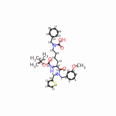 COc1cccc(CN(Cc2cccs2)C(=O)[C@H](CCCCN(Cc2ccccc2)C(=O)O)NC(=O)OC(C)(C)C)c1